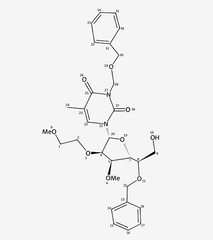 COCCO[C@@H]1[C@H](OC)[C@@H]([C@@H](CO)OCc2ccccc2)O[C@H]1n1cc(C)c(=O)n(COCc2ccccc2)c1=O